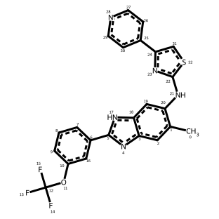 Cc1cc2nc(-c3cccc(OC(F)(F)F)c3)[nH]c2cc1Nc1nc(-c2ccncc2)cs1